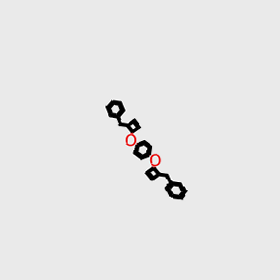 C1=CC(Oc2ccc(OC3C=CC3Cc3ccccc3)cc2)C1Cc1ccccc1